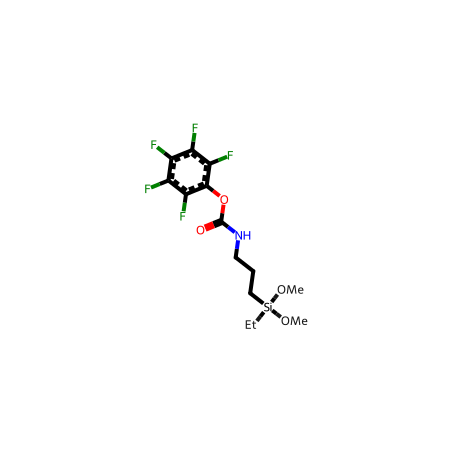 CC[Si](CCCNC(=O)Oc1c(F)c(F)c(F)c(F)c1F)(OC)OC